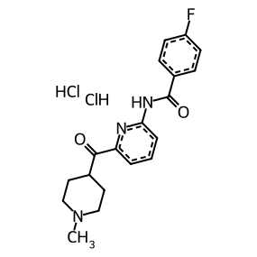 CN1CCC(C(=O)c2cccc(NC(=O)c3ccc(F)cc3)n2)CC1.Cl.Cl